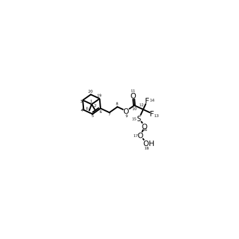 CC1(C)C2CC=C(CCOC(=O)C(F)(F)SOOO)C1C2